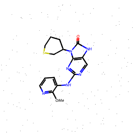 COc1ncccc1Nc1ncc2[nH]c(=O)n(C3CCCSC3)c2n1